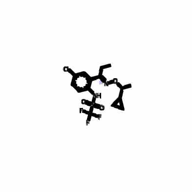 CC/C(=N\OC(C)C1CC1)c1cc(Cl)ccc1NS(=O)(=O)C(F)(F)F